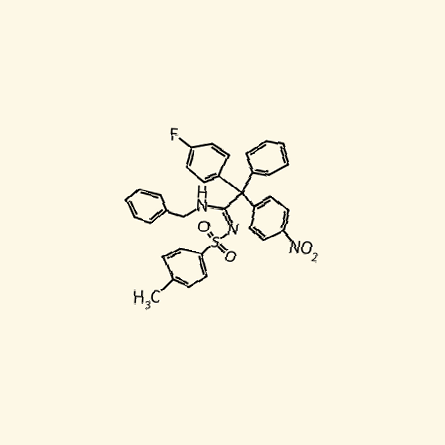 Cc1ccc(S(=O)(=O)N=C(NCc2ccccc2)C(c2ccccc2)(c2ccc(F)cc2)c2ccc([N+](=O)[O-])cc2)cc1